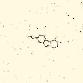 C=C=c1ccc2c(c1)C=c1ccccc1=2